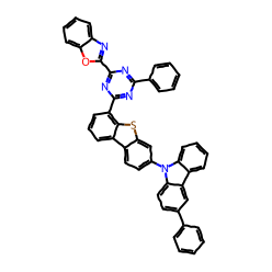 c1ccc(-c2ccc3c(c2)c2ccccc2n3-c2ccc3c(c2)sc2c(-c4nc(-c5ccccc5)nc(-c5nc6ccccc6o5)n4)cccc23)cc1